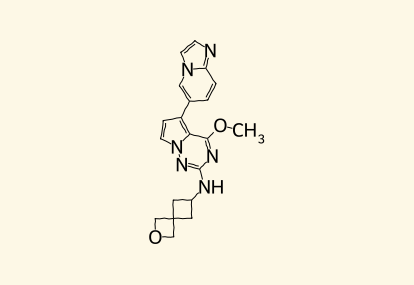 COc1nc(NC2CC3(COC3)C2)nn2ccc(-c3ccc4nccn4c3)c12